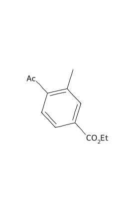 CCOC(=O)c1ccc(C(C)=O)c(C)c1